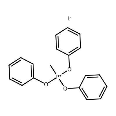 C[P+](Oc1ccccc1)(Oc1ccccc1)Oc1ccccc1.[I-]